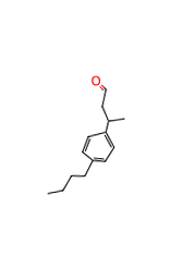 CCCCc1ccc(C(C)CC=O)cc1